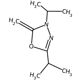 C=C1OC(C(C)C)=NN1C(C)C